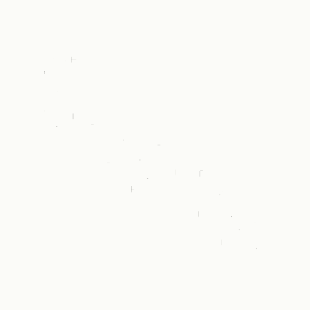 C=C(CCC(F)(F)OC(F)(F)C(F)(F)OC(F)(F)C(F)(F)OC(F)(F)C(F)(F)OC(F)(F)C(F)(F)OC(F)(F)F)C(=O)O